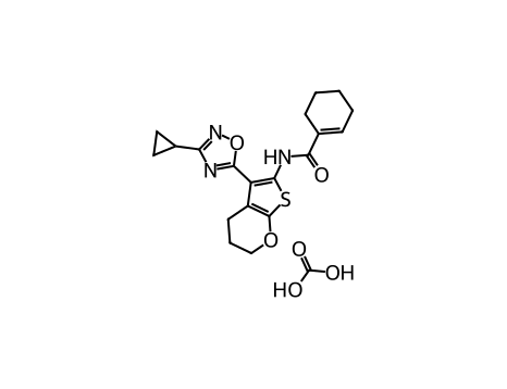 O=C(Nc1sc2c(c1-c1nc(C3CC3)no1)CCCO2)C1=CCCCC1.O=C(O)O